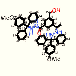 C=C(NNC(c1ccccc1)(c1ccccc1)c1ccc(OC)cc1)c1cc(CO)cc(C(=O)NNC(c2ccccc2)(c2ccccc2)c2ccc(OC)cc2)c1